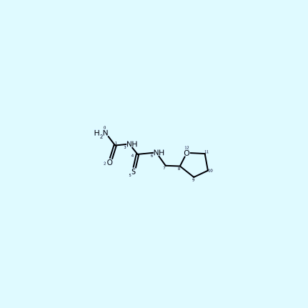 NC(=O)NC(=S)NCC1CCCO1